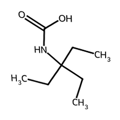 CCC(CC)(CC)NC(=O)O